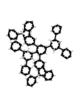 c1ccc(-c2nc(-c3ccccc3)nc(-c3cc(-c4ccc5c(c4)c4ccccc4n5-c4ccccc4)c(-c4nc(-c5ccccc5)nc(-c5ccccc5)n4)c(-c4ccc5c(c4)c4ccccc4n5-c4ccccc4)c3)n2)cc1